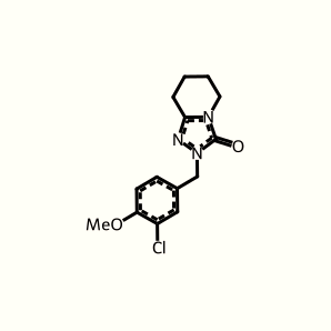 COc1ccc(Cn2nc3n(c2=O)CCCC3)cc1Cl